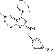 O=C(O)c1ccc(CNc2nc(N3CCCCC3)c3cc(Cl)ccc3n2)cc1